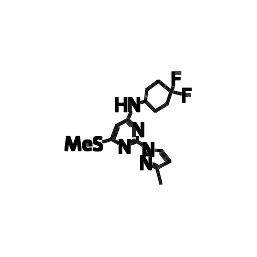 CSc1cc(NC2CCC(F)(F)CC2)nc(-n2ccc(C)n2)n1